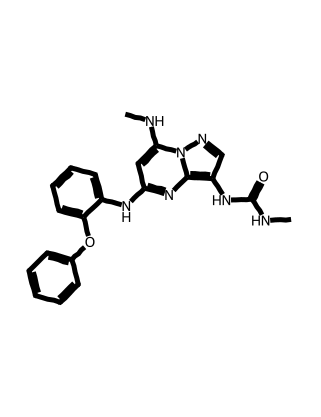 CNC(=O)Nc1cnn2c(NC)cc(Nc3ccccc3Oc3ccccc3)nc12